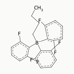 CCCC[B-](c1c(F)cccc1F)(c1c(F)cccc1F)c1c(F)cccc1F